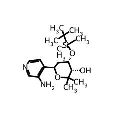 CC1(C)O[C@@H](c2ccncc2N)C[C@H](O[Si](C)(C)C(C)(C)C)[C@@H]1O